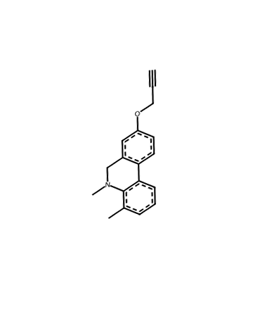 C#CCOc1ccc2c(c1)CN(C)c1c(C)cccc1-2